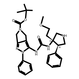 COCC[C@@]1(NC(=O)Nc2c3c(nn2-c2ccccc2)CN(C(=O)OC(C)(C)C)C3)CNC[C@H]1c1ccccc1